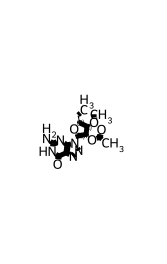 CC[C@H]1O[C@H](n2nnc3c(=O)[nH]c(N)nc32)[C@H](OC(C)=O)[C@@H]1OC